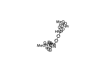 COC(=O)NC(C(=O)N1CCC[C@H]1c1ncc(-c2ccc(-c3ccc(-c4cnc([C@@H]5CC6(CN5C(=O)[C@@H](NC(=O)OC)C(C)C)OCCO6)[nH]4)cc3)cc2)[nH]1)C(C)C